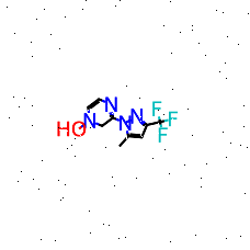 Cc1cc(C(F)(F)F)nn1C1=NC=CN(O)C1